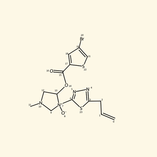 C=CCc1nnc([N+]2([O-])CN(C)CC2OC(=O)c2cc(Br)cs2)s1